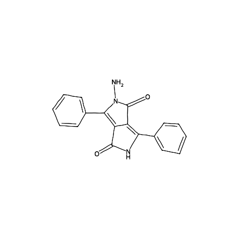 NN1C(=O)C2=C(c3ccccc3)NC(=O)C2=C1c1ccccc1